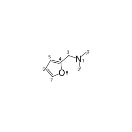 [CH2]N(C)Cc1ccco1